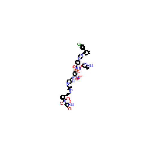 CC1(C)CCC(CN2CCN(c3ccc(C(=O)NS(=O)(=O)c4ccc(NCC5CCN(Cc6cnn(CC#Cc7cccc8c7C(=O)N(C7CCC(=O)NC7=O)C8=O)c6)CC5)c([N+](=O)[O-])c4)c(Oc4cnc5[nH]ccc5c4)c3)CC2)=C(c2ccc(Cl)cc2)C1